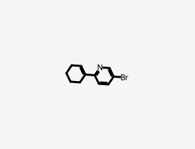 Brc1ccc(C2=CCCCC2)nc1